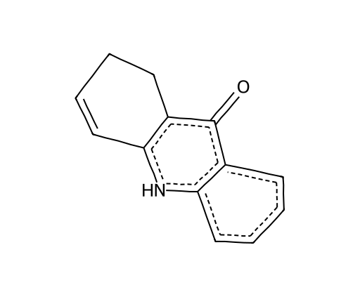 O=c1c2c([nH]c3ccccc13)C=CCC2